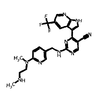 CNCCN(C)c1ccc(CNc2ncc(C#N)c(-c3c[nH]c4ncc(C(F)(F)F)cc34)n2)cn1